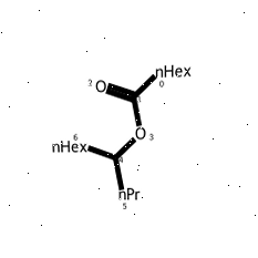 CCCCCCC(=O)OC(CCC)CCCCCC